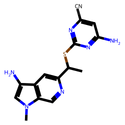 CC(Sc1nc(N)cc(C#N)n1)c1cc2c(N)cn(C)c2cn1